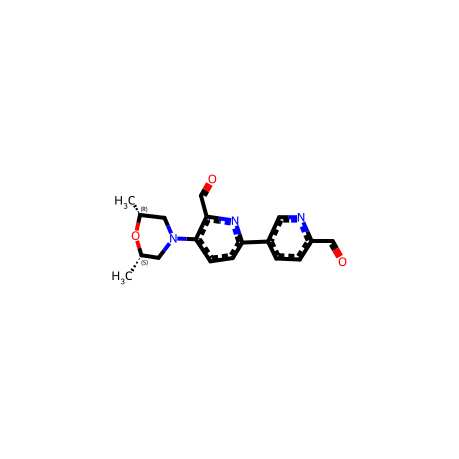 C[C@@H]1CN(c2ccc(-c3ccc(C=O)nc3)nc2C=O)C[C@H](C)O1